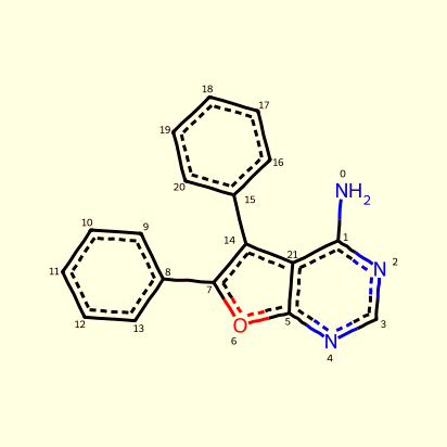 Nc1ncnc2oc(-c3ccccc3)c(-c3ccccc3)c12